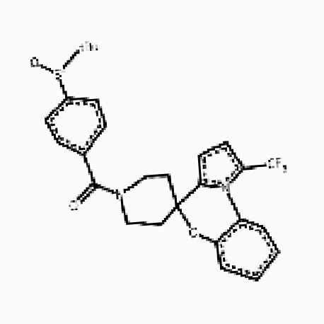 CC(C)(C)[S+]([O-])c1ccc(C(=O)N2CCC3(CC2)Oc2ccccc2-n2c(C(F)(F)F)ccc23)cc1